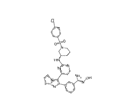 N/C(=N\O)c1cccc(-c2nc3sccn3c2-c2ccnc(N[C@@H]3CCCN(S(=O)(=O)c4ccc(Cl)cc4)C3)n2)c1